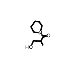 CC(CO)C(=O)N1CCCCC1